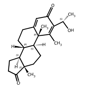 CC1=C([C@H](C)O)C(=O)C=C2CC[C@@H]3[C@H](CC[C@]4(C)C(=O)CC[C@@H]34)[C@]21C